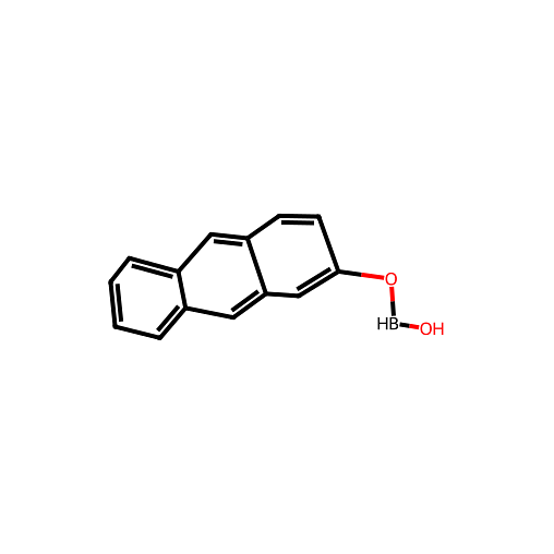 OBOc1ccc2cc3ccccc3cc2c1